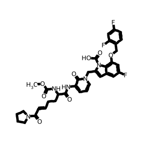 COC(=O)NC(CCC=CC(=O)N1CCCC1)C(=O)Nc1cccn(Cc2cc3cc(F)cc(OCc4ccc(F)cc4F)c3n2C(=O)O)c1=O